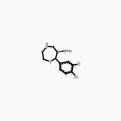 CC(=O)N[C@@H]1CNCCOC1c1ccc(Cl)c(Cl)c1